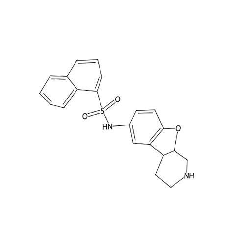 O=S(=O)(Nc1ccc2c(c1)C1CCNCC1O2)c1cccc2ccccc12